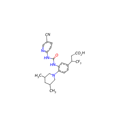 CC1CC(C)CN(c2ccc(C(CC(=O)O)C(F)(F)F)cc2NC(=O)Nc2ccc(C#N)cn2)C1